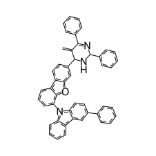 C=C1C(c2ccccc2)=NC(c2ccccc2)NC1c1ccc2c(c1)oc1c(-n3c4ccccc4c4cc(-c5ccccc5)ccc43)cccc12